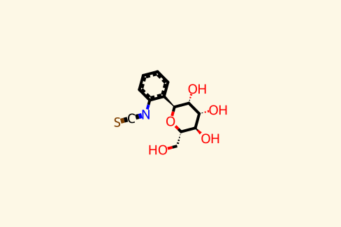 OC[C@@H]1O[C@@H](c2ccccc2N=C=S)[C@H](O)[C@H](O)[C@H]1O